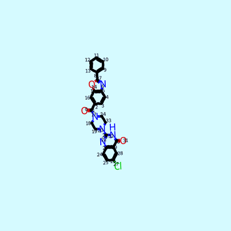 O=C(c1ccc2nc(-c3ccccc3)oc2c1)N1CCN(c2nc3ccc(Cl)cc3c(=O)[nH]2)CC1